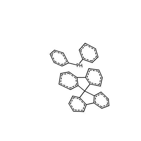 c1ccc(Pc2ccccc2)cc1.c1ccc2c(c1)-c1ccccc1C21c2ccccc2-c2ccccc21